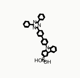 OB(O)c1ccc2c(c1)c1ccccc1n2-c1ccc(-c2ccc(-c3nc(-c4ccccc4)nc(-c4ccccc4)n3)cc2)cc1